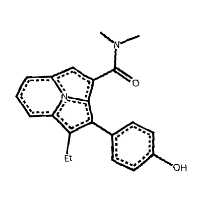 CCc1c(-c2ccc(O)cc2)c2c(C(=O)N(C)C)cc3cccc1n32